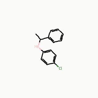 CC(Bc1ccc(Cl)cc1)c1ccccc1